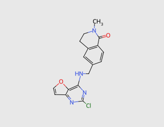 CN1CCc2cc(CNc3nc(Cl)nc4ccoc34)ccc2C1=O